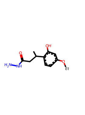 CCOc1ccc(C(C)CC(=O)NN)c(O)c1